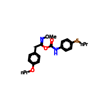 CCCOc1ccc([CH]C(=NOC)OC(=O)Nc2ccc(SCCC)cc2)cc1